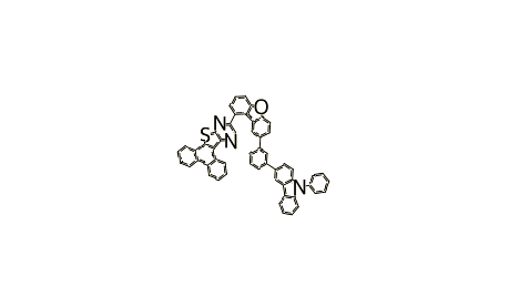 c1ccc(-n2c3ccccc3c3cc(-c4cccc(-c5ccc6oc7cccc(-c8cnc9c(n8)sc8c%10ccccc%10c%10ccccc%10c98)c7c6c5)c4)ccc32)cc1